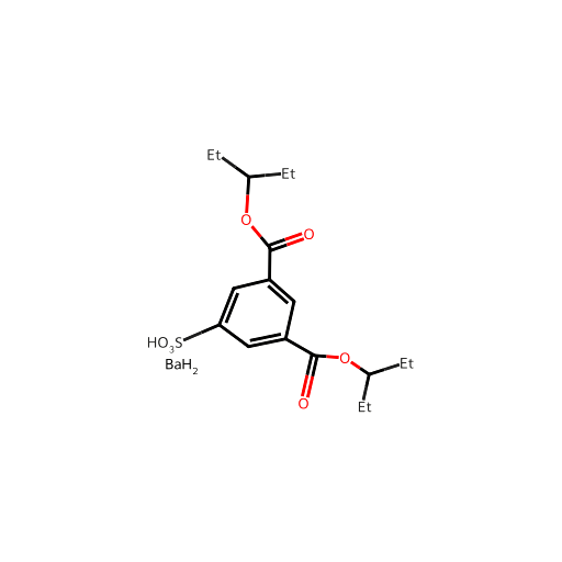 CCC(CC)OC(=O)c1cc(C(=O)OC(CC)CC)cc(S(=O)(=O)O)c1.[BaH2]